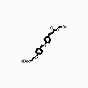 CCCCCCCCCCCCOc1ccc(C=Nc2ccc(/C=C/C(=O)OCC(C)CC)cc2)cc1